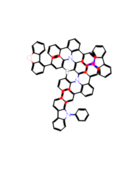 c1ccc(-c2cccc(-c3ccccc3)c2N2c3ccc(-c4cccc5oc6ccccc6c45)cc3B3c4ccc(-c5ccc6c7ccccc7n(-c7ccccc7)c6c5)cc4N(c4c(-c5ccccc5)cccc4-c4ccccc4)c4cc(-n5c6ccccc6c6ccccc65)cc2c43)cc1